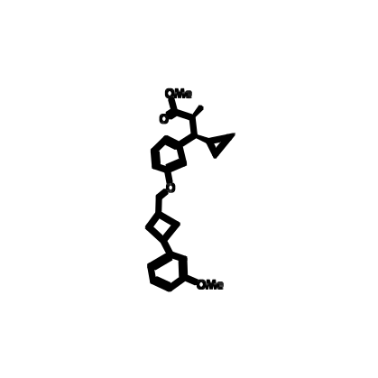 COC(=O)[C@@H](C)[C@H](c1cccc(OCC2CC(c3cccc(OC)c3)C2)c1)C1CC1